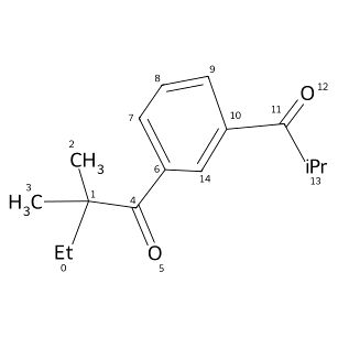 CCC(C)(C)C(=O)c1cccc(C(=O)C(C)C)c1